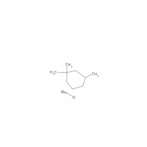 CC(C)(C)[O].CC1CCCC(C)(C)C1